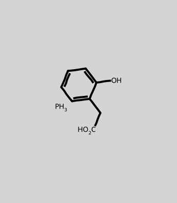 O=C(O)Cc1ccccc1O.P